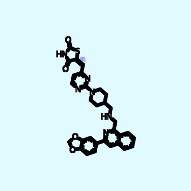 O=C1NC(=O)/C(=C\c2ccnc(N3CCC(CNCc4nc(-c5ccc6c(c5)OCO6)cc5ccccc45)CC3)n2)S1